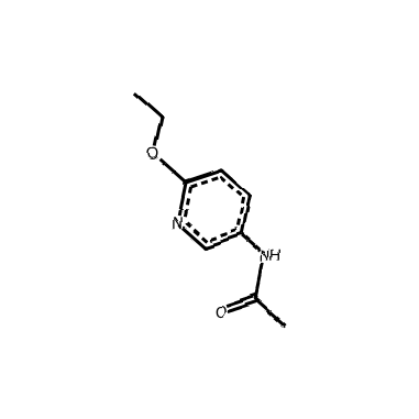 CCOc1ccc(NC(C)=O)cn1